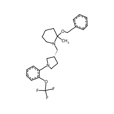 CC1(OCc2ccccc2)CCCCN1C[C@@H]1CCN(c2ccccc2OC(F)(F)F)C1